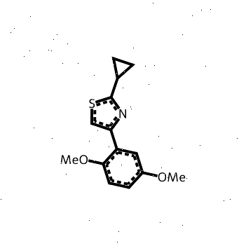 COc1ccc(OC)c(-c2csc(C3CC3)n2)c1